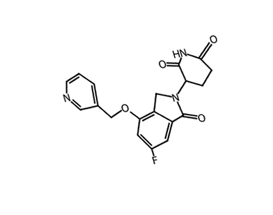 O=C1CCC(N2Cc3c(OCc4cccnc4)cc(F)cc3C2=O)C(=O)N1